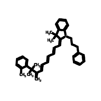 C=C(/C=C/C=C/C=C/C=C1/N(CCCc2ccccc2)c2ccccc2C1(C)C)C(C)(C)c1ccccc1C